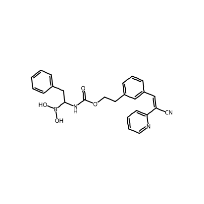 N#CC(=Cc1cccc(CCOC(=O)NC(Cc2ccccc2)B(O)O)c1)c1ccccn1